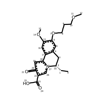 CC[C@H]1Cc2cc(OCCCOC)c(OC)cc2-c2cc(=O)c(C(=O)O)cn21